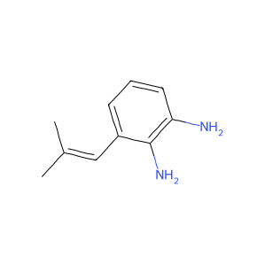 CC(C)=Cc1cccc(N)c1N